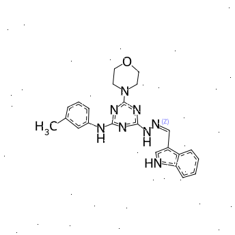 Cc1cccc(Nc2nc(N/N=C\c3c[nH]c4ccccc34)nc(N3CCOCC3)n2)c1